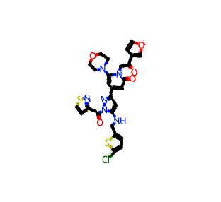 O=C(Cn1c(N2CCOCC2)cc(-c2cc(NCc3ccc(Cl)s3)n(C(=O)c3ccsn3)n2)cc1=O)c1ccoc1